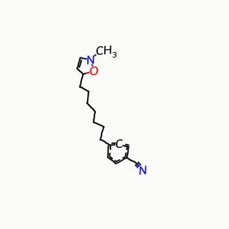 CN1C=CC(CCCCCCCc2ccc(C#N)cc2)O1